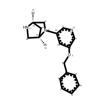 c1ccc(COc2cncc(N3C[C@H]4C[C@@H]3CN4)c2)cc1